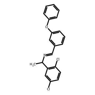 CC(/N=C/c1cccc(Oc2ccccc2)c1)c1cc(Cl)ccc1Cl